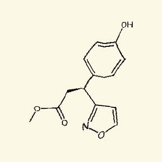 COC(=O)C[C@@H](c1ccc(O)cc1)c1ccon1